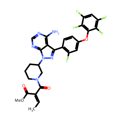 CC=C(C(=O)OC)C(=O)N1CCCC(n2nc(-c3ccc(Oc4c(F)c(F)cc(F)c4F)cc3F)c3c(N)ncnc32)C1